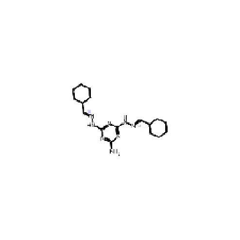 Nc1nc(N/N=C/C2CCCCC2)nc(N/N=C/C2CCCCC2)n1